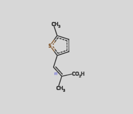 C/C(=C/c1ccc(C)s1)C(=O)O